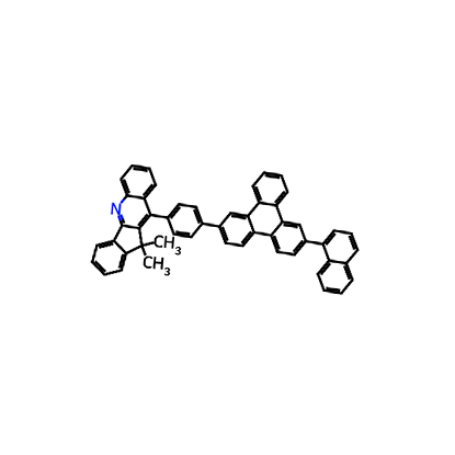 CC1(C)c2ccccc2-c2nc3ccccc3c(-c3ccc(-c4ccc5c6ccc(-c7cccc8ccccc78)cc6c6ccccc6c5c4)cc3)c21